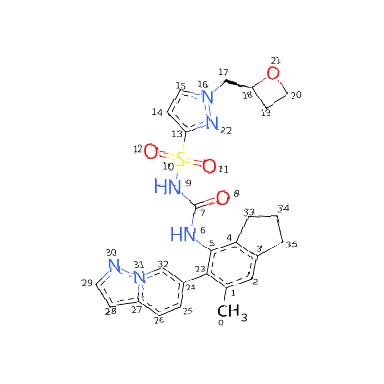 Cc1cc2c(c(NC(=O)NS(=O)(=O)c3ccn(C[C@@H]4CCO4)n3)c1-c1ccc3ccnn3c1)CCC2